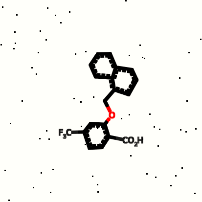 O=C(O)c1ccc(C(F)(F)F)cc1OCc1cccc2ccccc12